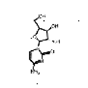 Nc1ccn(C2OC(CO)[C@@H](O)[C@@H]2O)c(=O)n1